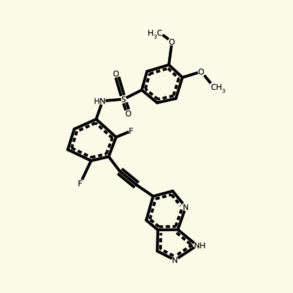 COc1ccc(S(=O)(=O)Nc2ccc(F)c(C#Cc3cnc4[nH]ncc4c3)c2F)cc1OC